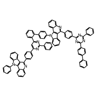 c1ccc(-c2ccc(-c3nc(-c4ccccc4)nc(-c4ccc(-c5nc6ccccc6c6c5c5ccccc5n6-c5ccc(-c6ccccc6-c6cc(-c7ccc(-c8nc9ccccc9c9c8c8ccccc8n9-c8ccccc8)cc7)nc(-c7ccccc7)n6)cc5)cc4)n3)cc2)cc1